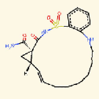 NC(=O)[C@@]12C[C@H]1/C=C/CCCCCCNc1ccccc1S(=O)(=O)NC2=O